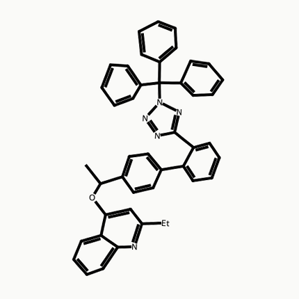 CCc1cc(OC(C)c2ccc(-c3ccccc3-c3nnn(C(c4ccccc4)(c4ccccc4)c4ccccc4)n3)cc2)c2ccccc2n1